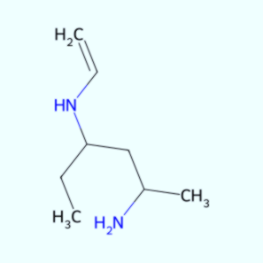 C=CNC(CC)CC(C)N